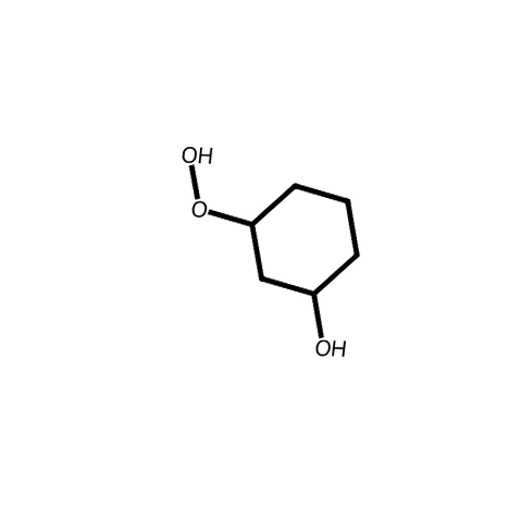 OOC1CCCC(O)C1